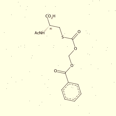 CC(=O)N[C@@H](CSC(=O)OCOC(=O)c1ccccc1)C(=O)O